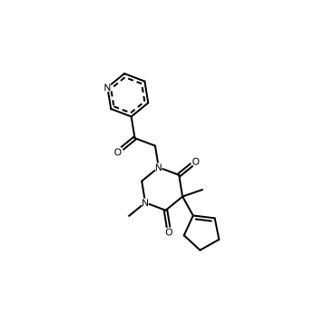 CN1CN(CC(=O)c2cccnc2)C(=O)C(C)(C2=CCCC2)C1=O